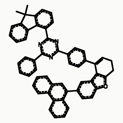 CC1(C)c2ccccc2-c2c(-c3nc(-c4ccccc4)nc(-c4ccc(C5=CCCc6oc7ccc(-c8cc9ccccc9c9ccccc89)cc7c65)cc4)n3)cccc21